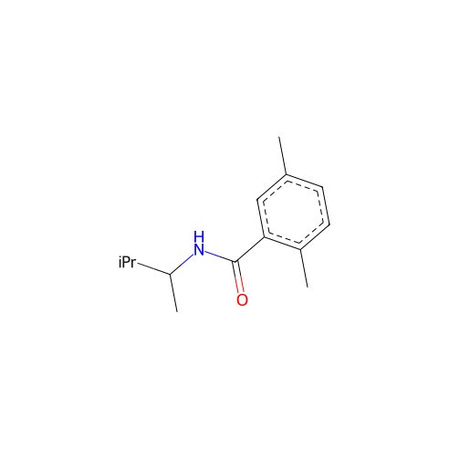 Cc1ccc(C)c(C(=O)NC(C)C(C)C)c1